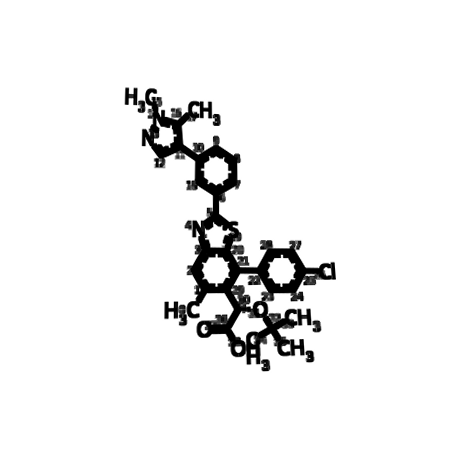 Cc1cc2nc(-c3cccc(-c4cnn(C)c4C)c3)sc2c(-c2ccc(Cl)cc2)c1[C@H](OC(C)(C)C)C(=O)O